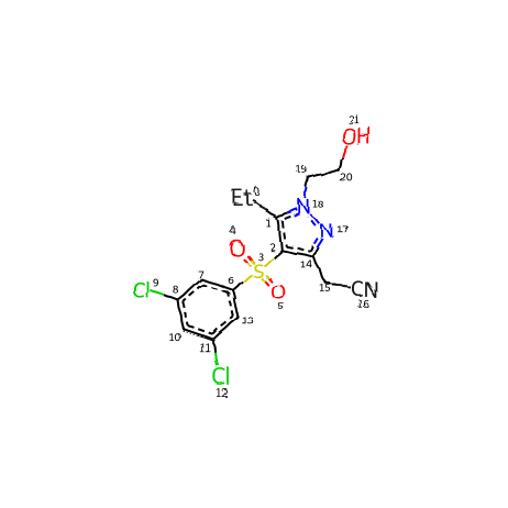 CCc1c(S(=O)(=O)c2cc(Cl)cc(Cl)c2)c(CC#N)nn1CCO